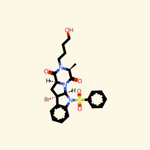 C[C@H]1C(=O)N2[C@@H](C[C@]3(Br)c4ccccc4N(S(=O)(=O)c4ccccc4)[C@H]23)C(=O)N1CCCCO